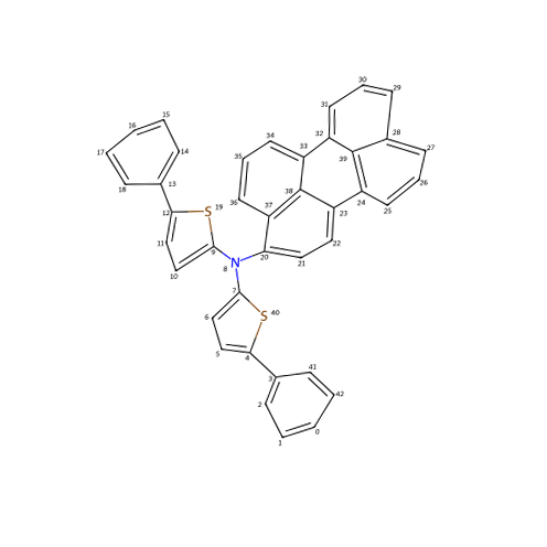 c1ccc(-c2ccc(N(c3ccc(-c4ccccc4)s3)c3ccc4c5cccc6cccc(c7cccc3c74)c65)s2)cc1